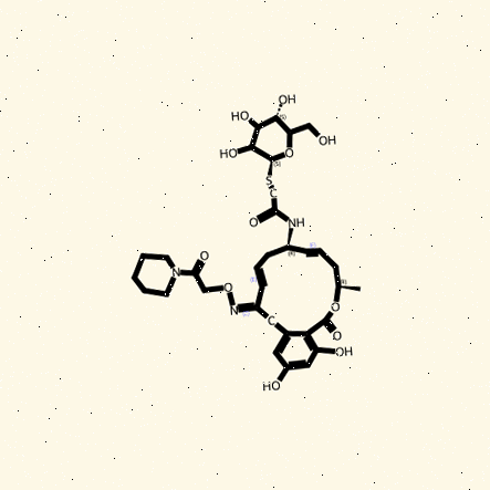 C[C@@H]1C/C=C/[C@H](NC(=O)CS[C@@H]2OC(CO)[C@@H](O)C(O)C2O)C/C=C/C(=N\OCC(=O)N2CCCCC2)Cc2cc(O)cc(O)c2C(=O)O1